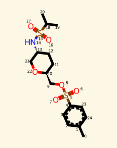 Cc1ccc(S(=O)(=O)OC[C@@H]2CC[C@@H](NS(=O)(=O)C(C)C)CO2)cc1